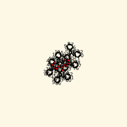 c1ccc(N(c2ccccc2)c2cc(-c3ccccc3N(c3ccccc3)c3ccccc3-c3cc(N(c4ccccc4)c4ccccc4)cc(N(c4ccccc4)c4ccccc4)c3)cc(N(c3ccccc3)c3ccccc3)c2)cc1